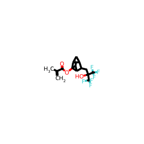 C=C(C)C(=O)OC1CC2C3CC1C(CC(O)(C(F)(F)F)C(F)(F)F)C23